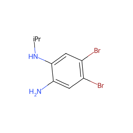 CC(C)Nc1cc(Br)c(Br)cc1N